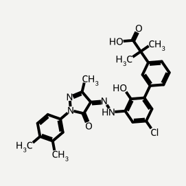 CC1=NN(c2ccc(C)c(C)c2)C(=O)C1=NNc1cc(Cl)cc(-c2cccc(C(C)(C)C(=O)O)c2)c1O